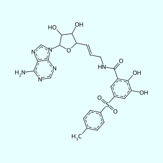 Cc1ccc(S(=O)(=O)c2cc(O)c(O)c(C(=O)NCC=CC3OC(n4cnc5c(N)ncnc54)C(O)C3O)c2)cc1